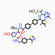 Cc1ncsc1-c1ccc([C@H](C)NC(=O)[C@@H]2C[C@@H](O)CN2C(=O)[C@@H](NC(=O)c2ccc(-c3ccc(C4=N[C@@H](C(C)C(=O)O)c5nnc(C)n5-c5sc(C)c(C)c54)cc3)cc2)C(C)(C)C)cc1